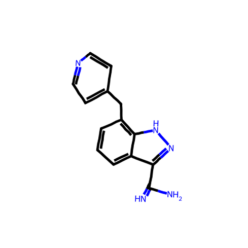 N=C(N)c1n[nH]c2c(Cc3ccncc3)cccc12